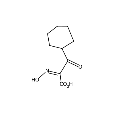 O=C(O)C(=NO)C(=O)C1CCCCC1